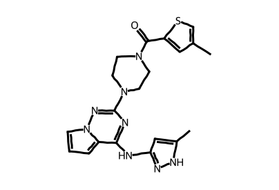 Cc1csc(C(=O)N2CCN(c3nc(Nc4cc(C)[nH]n4)c4cccn4n3)CC2)c1